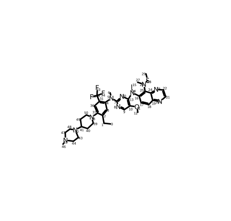 CCc1cc(N(C)c2ncc(OC)c(N(I)c3ccc4nccnc4c3N(C)SC)n2)c(C(F)(F)F)cc1N1CCC(N2CCN(C)CC2)CC1